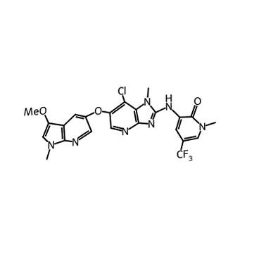 COc1cn(C)c2ncc(Oc3cnc4nc(Nc5cc(C(F)(F)F)cn(C)c5=O)n(C)c4c3Cl)cc12